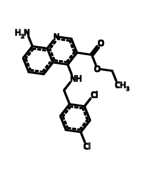 CCOC(=O)c1cnc2c(N)cccc2c1NCc1ccc(Cl)cc1Cl